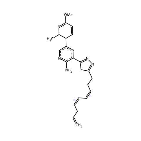 C=CC/C=C\C=C/CCC1=NN=C(c2nc(C3C=CC(OC)=NC3C)cnc2N)C1